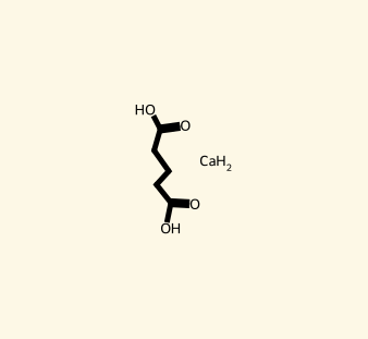 O=C(O)CCCC(=O)O.[CaH2]